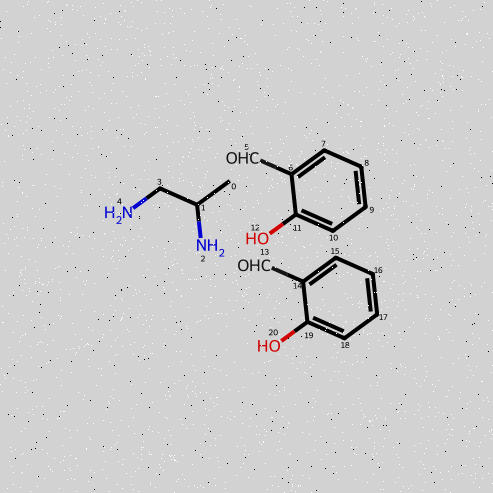 CC(N)CN.O=Cc1ccccc1O.O=Cc1ccccc1O